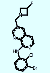 FC1CN(Cc2cnc3c(Nc4cccc(Br)c4Cl)nccc3c2)C1